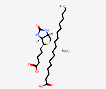 CCCCCCCCCCCCCCCCCC(=O)O.O=C(O)CCCC[C@@H]1SC[C@@H]2NC(=O)N[C@@H]21.[MgH2]